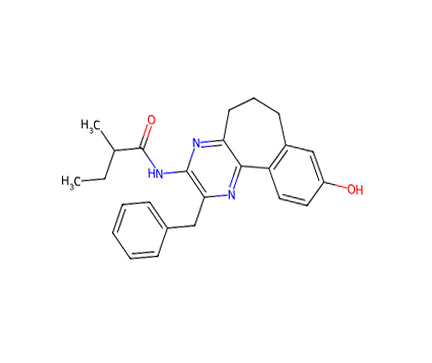 CCC(C)C(=O)Nc1nc2c(nc1Cc1ccccc1)-c1ccc(O)cc1CCC2